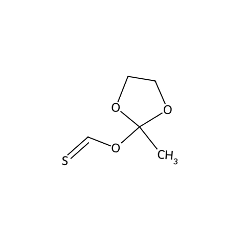 CC1(OC=S)OCCO1